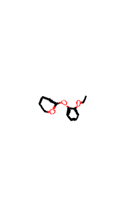 CCOc1ccccc1OC1CCCCO1